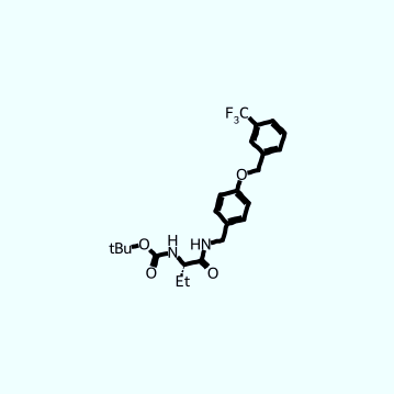 CC[C@H](NC(=O)OC(C)(C)C)C(=O)NCc1ccc(OCc2cccc(C(F)(F)F)c2)cc1